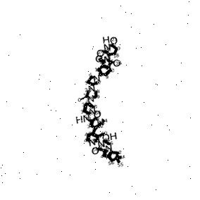 C[C@H]1CN([C@H]2CCN(c3ccc4c(c3)C(=O)N(C3CCC(=O)NC3=O)C4=O)C2)CCN1c1ccc(Nc2cc(-c3ccnc(N4CCn5c(cc6c5CC(C)(C)C6)C4=O)c3CO)cn(C)c2=O)nc1